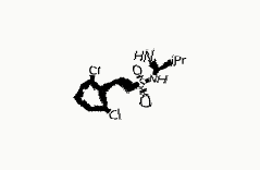 CC(C)C(=N)NS(=O)(=O)C=Cc1c(Cl)cccc1Cl